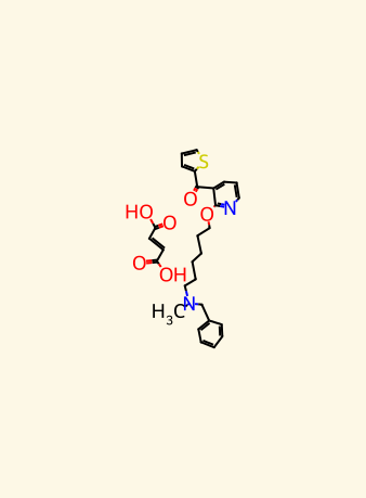 CN(CCCCCCOc1ncccc1C(=O)c1cccs1)Cc1ccccc1.O=C(O)C=CC(=O)O